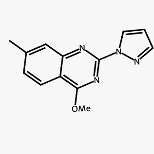 COc1nc(-n2cccn2)nc2cc(C)ccc12